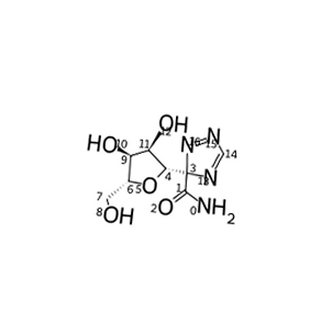 NC(=O)C1([C@@H]2O[C@H](CO)[C@@H](O)[C@H]2O)N=CN=N1